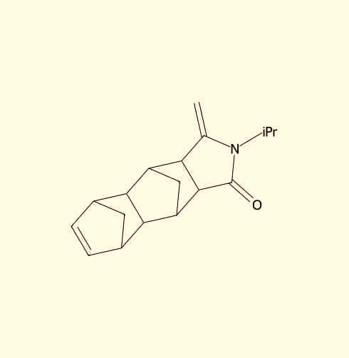 C=C1C2C3CC(C2C(=O)N1C(C)C)C1C2C=CC(C2)C31